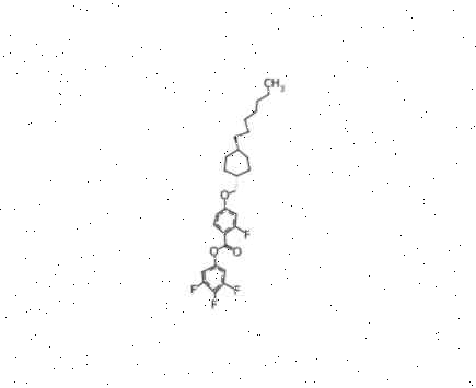 CCCCCCC[C@H]1CC[C@H](COc2ccc(C(=O)Oc3cc(F)c(F)c(F)c3)c(F)c2)CC1